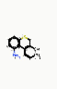 C/C=C\C1=C(C)CSc2cccc(N)c21